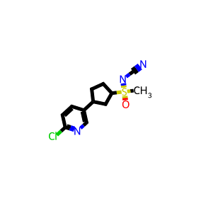 CS(=O)(=NC#N)C1CCC(c2ccc(Cl)nc2)C1